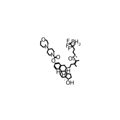 C/C(CC[C@@H]1Cc2cc(OC(=O)N3CCC(N4CCCOCC4)CC3)ccc2[C@H]2CC[C@]3(C)[C@@H](O)CC[C@H]3[C@H]12)=C(\C)[S+]([O-])CCCC(F)(F)C(F)(F)P